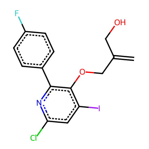 C=C(CO)COc1c(I)cc(Cl)nc1-c1ccc(F)cc1